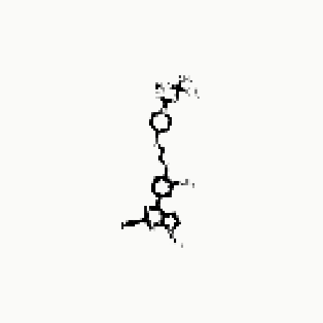 Cc1cc(-c2nc(C#N)nc3c2ccn3C)ccc1OCCOC1CCN(C(=O)OC(C)(C)C)CC1